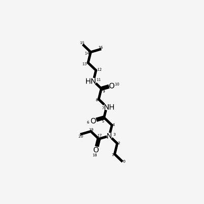 CCCN(CC(=O)NCC(=O)NCCC(C)C)C(=O)CC